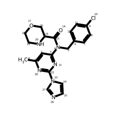 Cc1cc(N(Cc2ccc(Cl)cc2)C(=O)C2COCCN2)nc(-n2ccnc2)n1